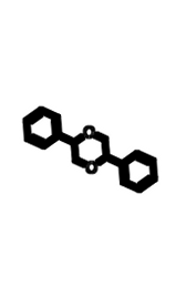 c1ccc(C2COC(c3ccccc3)CO2)cc1